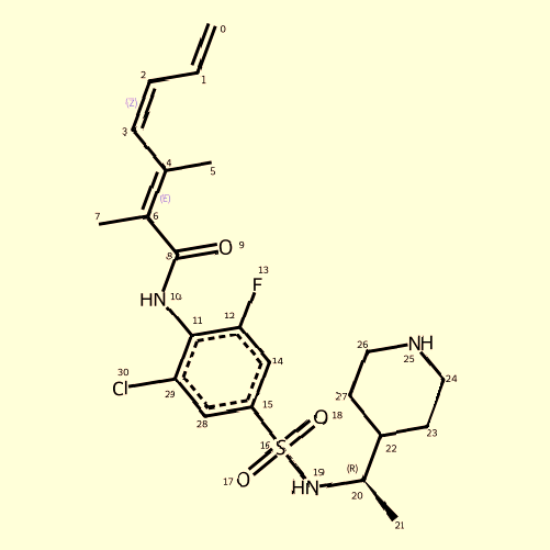 C=C/C=C\C(C)=C(/C)C(=O)Nc1c(F)cc(S(=O)(=O)N[C@H](C)C2CCNCC2)cc1Cl